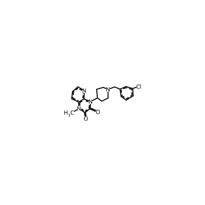 Cn1c(=O)c(=O)n(C2CCN(Cc3cccc(Cl)c3)CC2)c2ncccc21